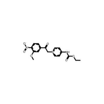 CCOC(=O)Nc1cc[n+](CC(=O)c2ccc([N+](=O)[O-])c(OC)c2)cc1